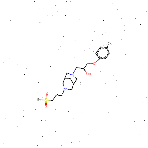 CCS(=O)(=O)CCCN1CC2CC(C1)CN(CC(O)COc1ccc(C#N)cc1)C2